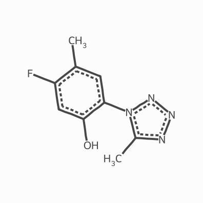 Cc1cc(-n2nnnc2C)c(O)cc1F